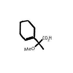 COC(C)(C(=O)O)C1=CCCCC1